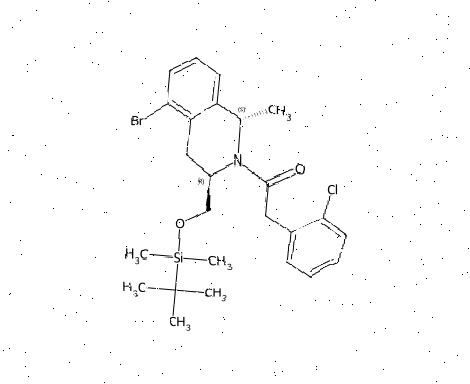 C[C@H]1c2cccc(Br)c2C[C@H](CO[Si](C)(C)C(C)(C)C)N1C(=O)Cc1ccccc1Cl